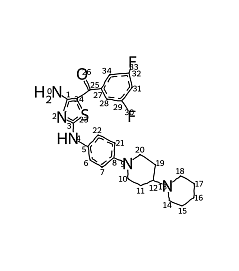 Nc1nc(Nc2ccc(N3CCC(N4CCCCC4)CC3)cc2)sc1C(=O)c1cc(F)cc(F)c1